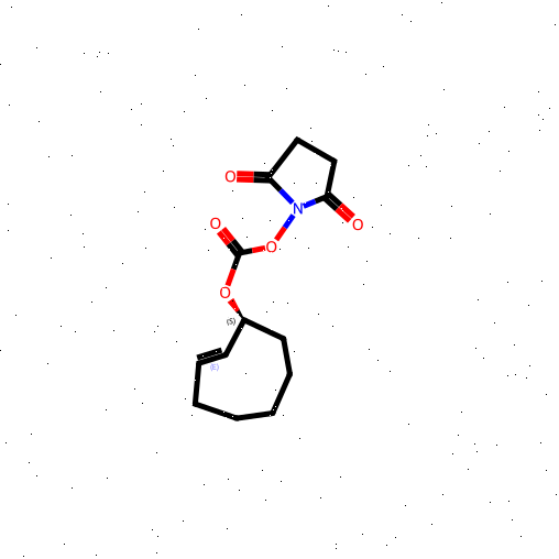 O=C(O[C@@H]1/C=C/CCCCC1)ON1C(=O)CCC1=O